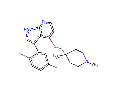 CN1CCC(C)(COc2ccnc3[nH]cc(-c4cc(F)ccc4F)c23)CC1